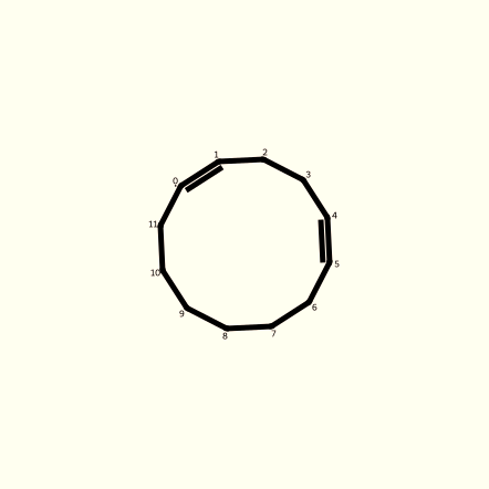 [C]1=CCCC=CCCCCCC1